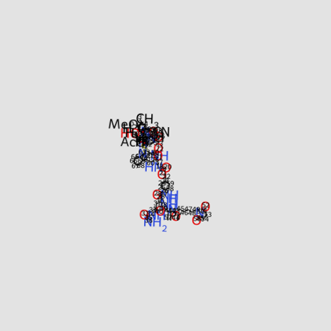 COc1c(C)cc2c(c1O)[C@H]1[C@@H]3[C@@H]4SC[C@]5(N[C@H](CNC(=O)OCc6ccc(NC(=O)[C@H](CCCNC(N)=O)NC(=O)[C@@H](NC(=O)CCCCCN7C(=O)C=CC7=O)C(C)C)cc6)Cc6c5[nH]c5ccccc65)C(=O)OC[C@@H](c5c6c(c(C)c(OC(C)=O)c54)OCO6)N3C(C#N)(C2)CN1C